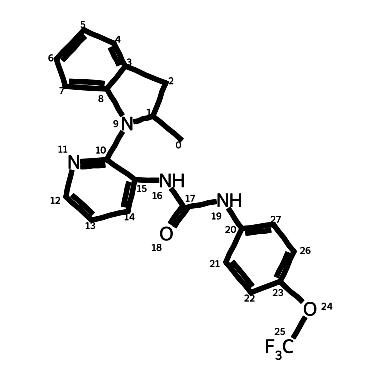 CC1Cc2ccccc2N1c1ncccc1NC(=O)Nc1ccc(OC(F)(F)F)cc1